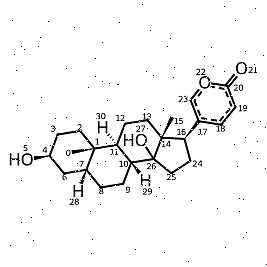 C[C@]12CC[C@H](O)C[C@H]1CC[C@@H]1[C@@H]2CC[C@]2(C)[C@@H](c3ccc(=O)oc3)CCC12O